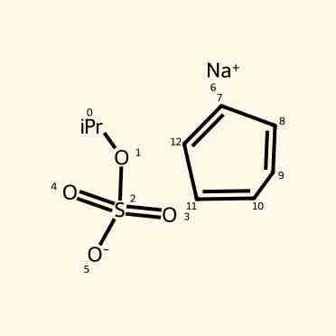 CC(C)OS(=O)(=O)[O-].[Na+].c1ccccc1